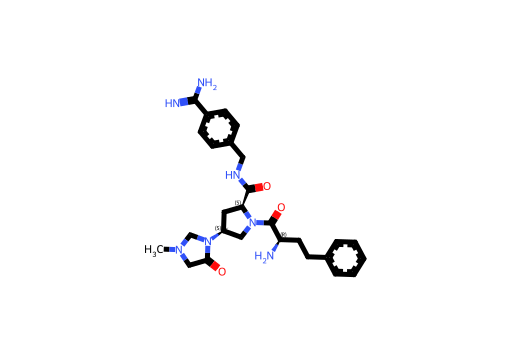 CN1CC(=O)N([C@H]2C[C@@H](C(=O)NCc3ccc(C(=N)N)cc3)N(C(=O)[C@H](N)CCc3ccccc3)C2)C1